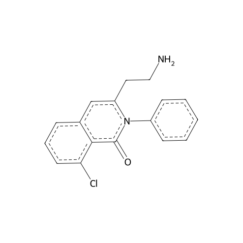 NCCc1cc2cccc(Cl)c2c(=O)n1-c1ccccc1